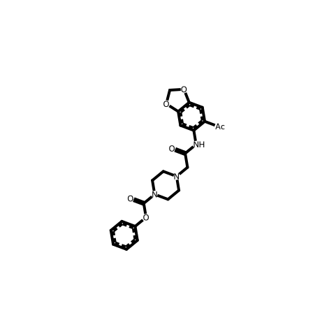 CC(=O)c1cc2c(cc1NC(=O)CN1CCN(C(=O)Oc3ccccc3)CC1)OCO2